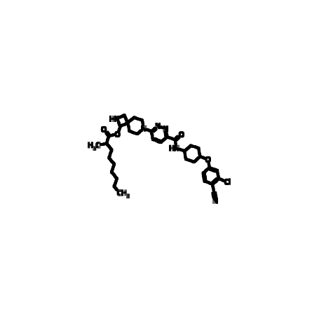 CCCCCCCC(C)C(=O)OC1NCC12CCN(c1ccc(C(=O)NC3CCC(Oc4ccc(C#N)c(Cl)c4)CC3)nn1)CC2